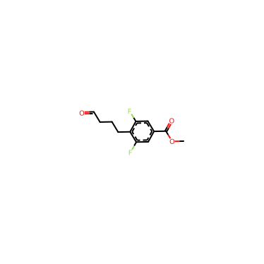 COC(=O)c1cc(F)c(CCCC=O)c(F)c1